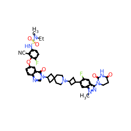 CCN(C)S(=O)(=O)Nc1ccc(F)c(Oc2ccc3ncn(C4CC5(CCN(C6CC(c7cc8c(cc7F)c(N7CCC(=O)NC7=O)nn8C)C6)CC5)C4)c(=O)c3c2)c1C#N